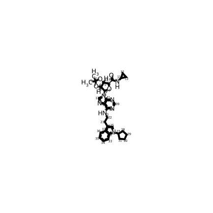 CC1(C)O[C@@H]2[C@H](O1)[C@@H](C(=O)NC1CC1)O[C@H]2n1cnc2c(NCCc3cn(C4CCCC4)c4ccccc34)ncnc21